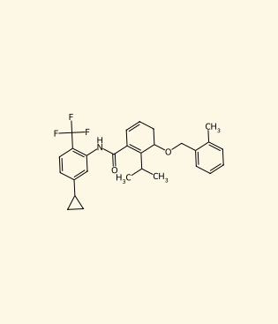 Cc1ccccc1COC1CC=CC(C(=O)Nc2cc(C3CC3)ccc2C(F)(F)F)=C1C(C)C